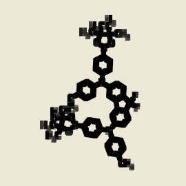 Cc1ccc(N(c2ccc(B3OC(C)(C)C(C)(C)O3)cc2)c2ccc3c(c2)-c2cc(N(c4ccc(C)cc4)c4ccc(B5OC(C)(C)C(C)(C)O5)cc4)ccc2C3(F)F)cc1